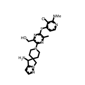 CNc1nccc(Sc2nc(CO)c(N3CCC4(CC3)Cn3nccc3C4N)nc2C)c1Cl